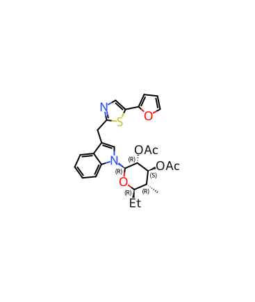 CC[C@H]1O[C@@H](n2cc(Cc3ncc(-c4ccco4)s3)c3ccccc32)[C@H](OC(C)=O)[C@@H](OC(C)=O)[C@@H]1C